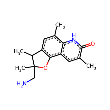 Cc1cc2c3c(cc(C)c2[nH]c1=O)C(C)C(C)(CN)O3